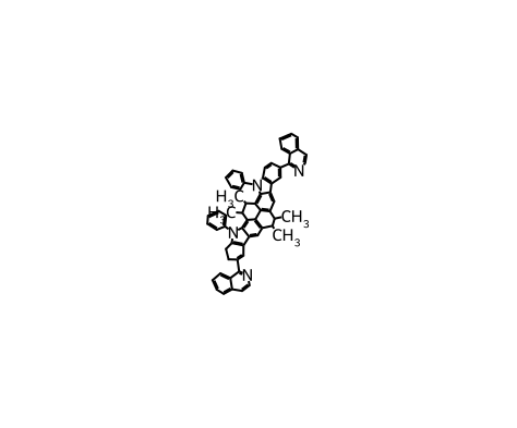 CC1c2cc3c4c(n(-c5ccccc5)c3c3c2-c2c(cc5c6cc(-c7nccc8ccccc78)ccc6n(-c6ccccc6)c5c2C(C)C3C)C1C)CCC(c1nccc2ccccc12)=C4